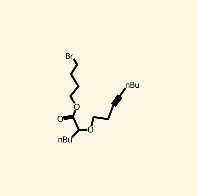 CCCCC#CCCOC(CCCC)C(=O)OCCCCBr